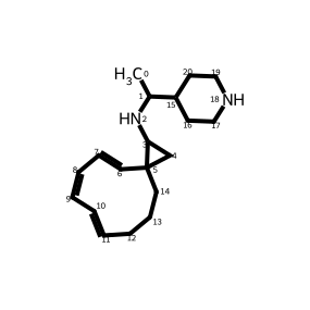 CC(NC1CC12/C=C/C=C\C=C\CCC2)C1CCNCC1